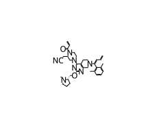 C=C/C=C(\c1c(C)cccc1C)N1CCc2c(nc(OC[C@@H]3CCCN3C)nc2N2CCN(C(=O)C=C)C(CC#N)C2)C1